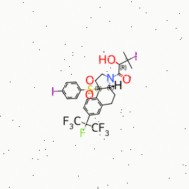 CC(C)(I)[C@H](O)C(=O)N1CC[C@@]2(S(=O)(=O)c3ccc(I)cc3)c3ccc(C(F)(C(F)(F)F)C(F)(F)F)cc3CC[C@@H]12